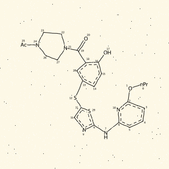 CCCOc1cccc(Nc2ncc(Sc3ccc(O)c(C(=O)N4CCN(C(C)=O)CC4)c3)s2)n1